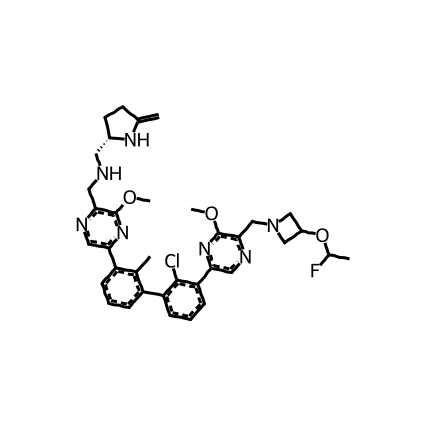 C=C1CC[C@@H](CNCc2ncc(-c3cccc(-c4cccc(-c5cnc(CN6CC(OC(C)F)C6)c(OC)n5)c4Cl)c3C)nc2OC)N1